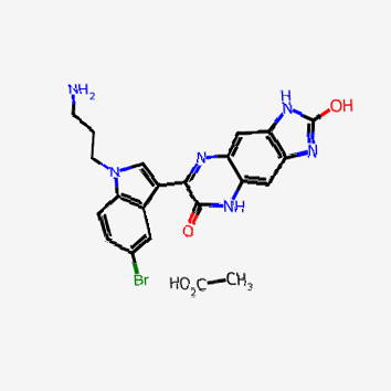 CC(=O)O.NCCCn1cc(-c2nc3cc4[nH]c(O)nc4cc3[nH]c2=O)c2cc(Br)ccc21